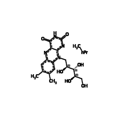 CCCC.Cc1cc2nc3c(=O)[nH]c(=O)nc-3n(C[C@H](O)[C@H](O)[C@H](O)CO)c2cc1C